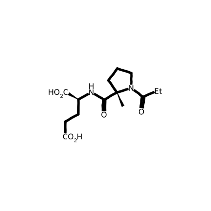 CCC(=O)N1CCC[C@@]1(C)C(=O)N[C@@H](CCC(=O)O)C(=O)O